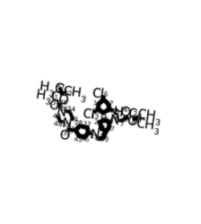 CC(C)(C)OC(=O)CN(Sc1cc(Cl)cc(Cl)c1)c1ccc2c(ccn2-c2ccc(C(=O)N3CCN(C(=O)OC(C)(C)C)CC3)cc2)c1